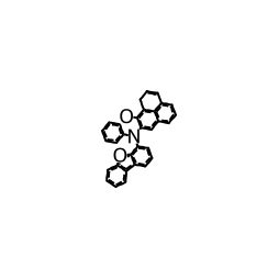 C1=Cc2cccc3cc4c(c(c23)C1)Oc1ccccc1N4c1cccc2c1oc1ccccc12